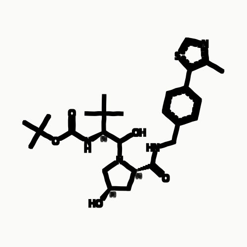 Cc1ncsc1-c1ccc(CNC(=O)[C@@H]2C[C@@H](O)CN2C(O)[C@@H](NC(=O)OC(C)(C)C)C(C)(C)C)cc1